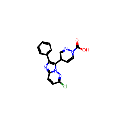 O=C(O)N1C=CC(c2c(-c3ccccc3)nc3ccc(Cl)nn23)C=N1